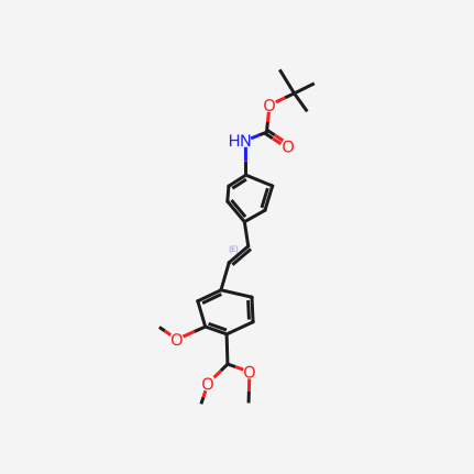 COc1cc(/C=C/c2ccc(NC(=O)OC(C)(C)C)cc2)ccc1C(OC)OC